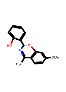 COc1ccc(/C(C)=N\Cc2ccccc2O)c(O)c1